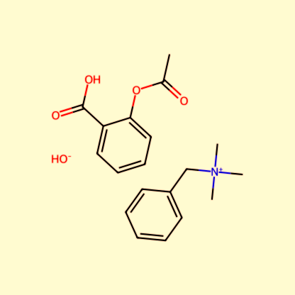 CC(=O)Oc1ccccc1C(=O)O.C[N+](C)(C)Cc1ccccc1.[OH-]